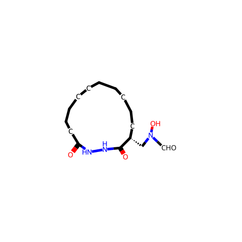 O=CN(O)C[C@H]1CCCCCCCCCCC(=O)NNC1=O